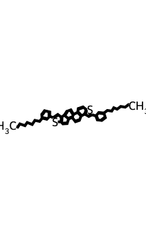 CCCCCCCCc1cccc(-c2cc3c(ccc4c3ccc3c5ccc6sc(-c7cccc(CCCCCCCC)c7)cc6c5ccc43)s2)c1